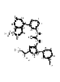 CC(C)c1cc(NC(=O)Nc2cccc(-c3cncc4c3cnn4C)c2)n(-c2cccc(F)c2)n1